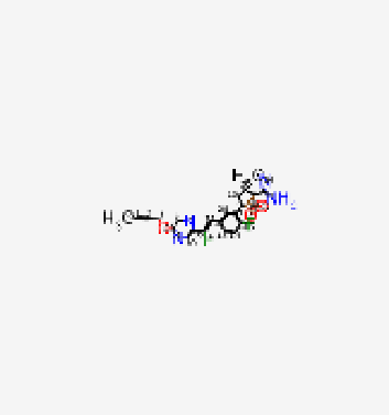 CC#CCOc1cnc(/C(F)=C/c2ccc(F)c(C3CCC(/C(N)=N\C)S3(=O)=O)c2)cn1